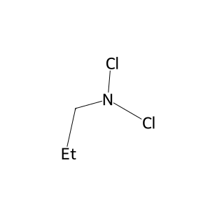 CCCN(Cl)Cl